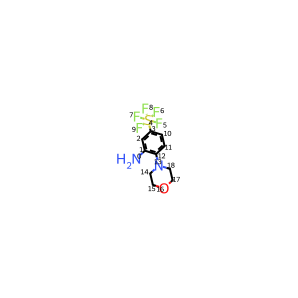 Nc1cc(S(F)(F)(F)(F)F)ccc1N1CCOCC1